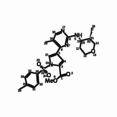 COC(=O)c1cc(-c2nc(N[C@H]3CCOC[C@H]3F)ncc2C)cn1S(=O)(=O)c1ccc(C)cc1